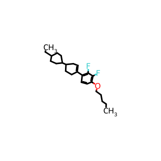 CCCCCOc1ccc(C2=CCC(C3CCC(CC)CC3)CC2)c(F)c1F